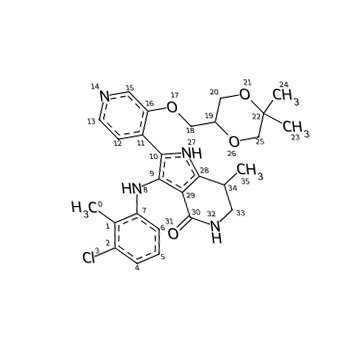 Cc1c(Cl)cccc1Nc1c(-c2ccncc2OCC2COC(C)(C)CO2)[nH]c2c1C(=O)NCC2C